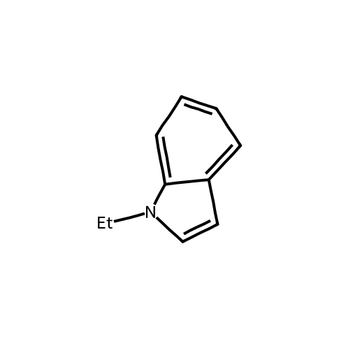 CCn1ccc2ccccc21